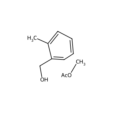 COC(C)=O.Cc1ccccc1CO